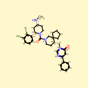 CN[C@@H]1CCN(C(=O)N2CC[C@@H](Cn3cnc(-c4ccccc4)cc3=O)C3(CCCC3)C2)[C@H](c2cccc(F)c2F)C1